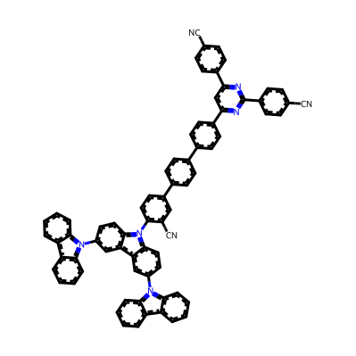 N#Cc1ccc(-c2cc(-c3ccc(-c4ccc(-c5ccc(-n6c7ccc(-n8c9ccccc9c9ccccc98)cc7c7cc(-n8c9ccccc9c9ccccc98)ccc76)c(C#N)c5)cc4)cc3)nc(-c3ccc(C#N)cc3)n2)cc1